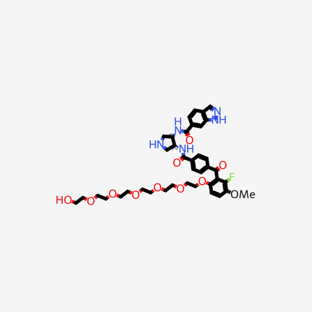 COc1ccc(OCCOCCOCCOCCOCCOCCO)c(C(=O)c2ccc(C(=O)N[C@@H]3CNC[C@H]3NC(=O)c3ccc4cn[nH]c4c3)cc2)c1F